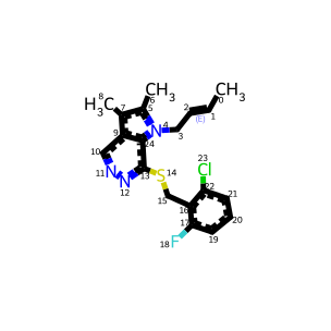 C/C=C/Cn1c(C)c(C)c2cnnc(SCc3c(F)cccc3Cl)c21